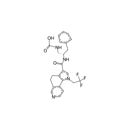 O=C(O)NC[C@H](Cc1ccccc1)NC(=O)c1cn(CC(F)(F)F)c2c1CCc1cnccc1-2